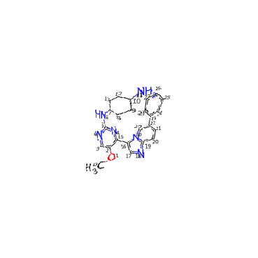 COc1cnc(NC2CCC(N)CC2)nc1-c1cnc2ccc(-c3ccccc3)cn12